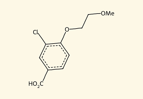 COCCOc1ccc(C(=O)O)cc1Cl